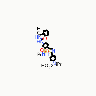 CC(C)NS(=O)(=O)c1cc(NC(=O)N[C@H](C)c2ccccc2)ccc1-c1cnc(C2CCC(N(C(=O)O)C(C)C)CC2)s1